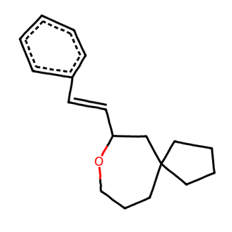 C(=C\C1CC2(CCCC2)CCCO1)/c1ccccc1